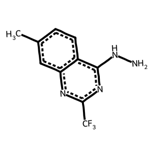 Cc1ccc2c(NN)nc(C(F)(F)F)nc2c1